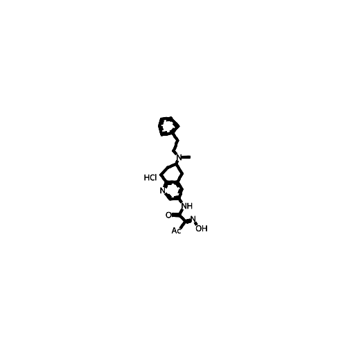 CC(=O)C(=NO)C(=O)Nc1cnc2c(c1)CC(N(C)CCc1ccccc1)CC2.Cl